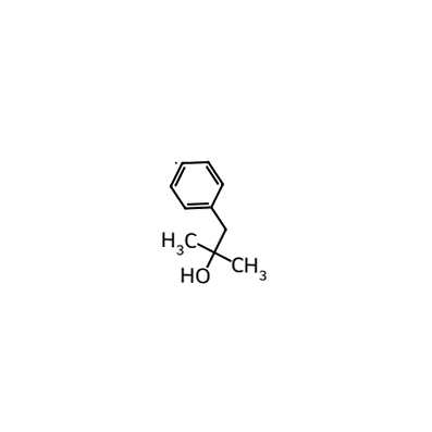 CC(C)(O)Cc1cc[c]cc1